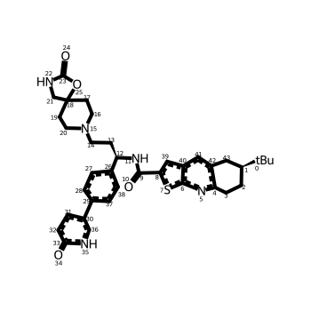 CC(C)(C)[C@H]1CCc2nc3sc(C(=O)N[C@H](CCN4CCC5(CC4)CNC(=O)O5)c4ccc(-c5ccc(=O)[nH]c5)cc4)cc3cc2C1